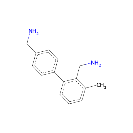 Cc1cccc(-c2ccc(CN)cc2)c1CN